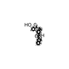 O=C(O)CC(c1ccccc1)n1cnc2cc(NC(=O)c3cc4ccccc4cn3)ccc21